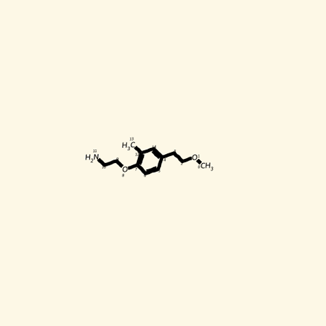 COCCc1ccc(OCCN)c(C)c1